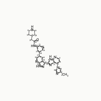 Cc1cn(-c2ccnc3[nH]c(-c4n[nH]c5ncc(-c6cncc(NC(=O)CC7CCNCC7)c6)cc45)nc23)cn1